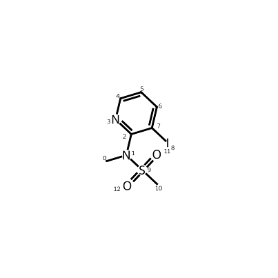 CN(c1ncccc1I)S(C)(=O)=O